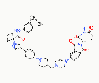 N#Cc1ccc(NC(=O)C2(n3cc(-c4ccc(N5CCC(CN6CCN(c7ccc8c(c7)C(=O)N(C7CCC(=O)NC7=O)C8=O)CC6)CC5)cc4)cn3)CCC2)cc1C(F)(F)F